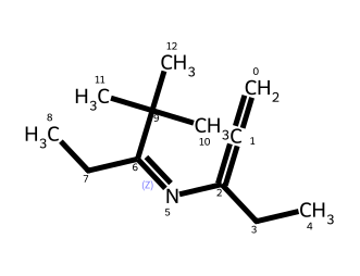 C=C=C(CC)/N=C(/CC)C(C)(C)C